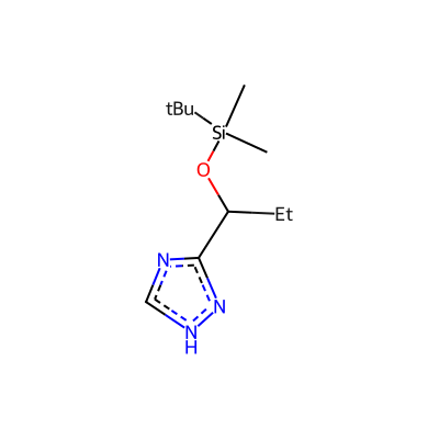 CCC(O[Si](C)(C)C(C)(C)C)c1nc[nH]n1